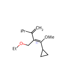 C=C(/C(COCC)=C(\OC)C1CC1)C(C)C